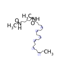 CC/C=C\C/C=C\C/C=C\C/C=C\C/C=C\C/C=C\CCC(=O)N[C@H](C)CCCCNC(C)=O